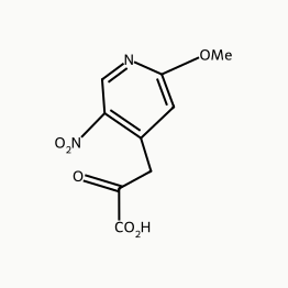 COc1cc(CC(=O)C(=O)O)c([N+](=O)[O-])cn1